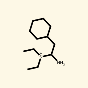 CC[SiH](CC)C(N)CC1CCCCC1